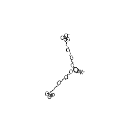 O=S(=O)([O-])CCCCOCCOCCOc1ccccc1OCCOCCOCCCCS(=O)(=O)[O-].[K+].[K+]